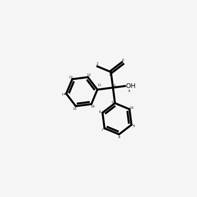 C=C(C)C(O)(c1ccccc1)c1ccccc1